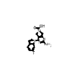 Nc1nc2c(c(-n3ccc4ccc(F)cc43)n1)CN(C(=O)O)C2